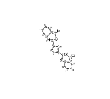 ClC1OC(c2ccc(C3=Nc4ccccc4C(I)O3)s2)=Nc2ccccc21